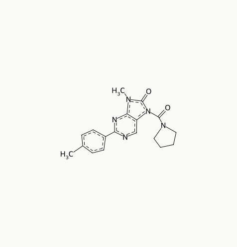 Cc1ccc(-c2ncc3c(n2)n(C)c(=O)n3C(=O)N2CCCC2)cc1